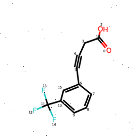 O=C(O)CC#Cc1cccc(C(F)(F)F)c1